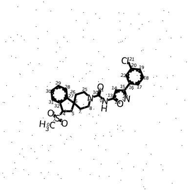 CS(=O)(=O)C1CC2(CCN(C(=O)Nc3cc(-c4cccc(Cl)c4)no3)CC2)c2ccccc21